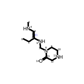 CC/C(=C\NC)NCN1CCNCC1=O